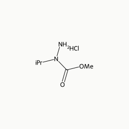 COC(=O)N(N)C(C)C.Cl